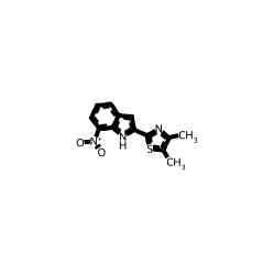 Cc1nc(-c2cc3cccc([N+](=O)[O-])c3[nH]2)sc1C